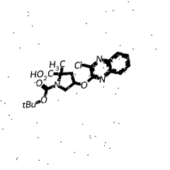 CC(C)(C)OC(=O)N1CC(Oc2nc3ccccc3nc2Cl)CC1(C)C(=O)O